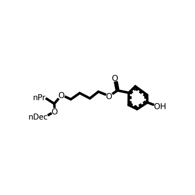 CCCCCCCCCCOC(CCC)OCCCCOC(=O)c1ccc(O)cc1